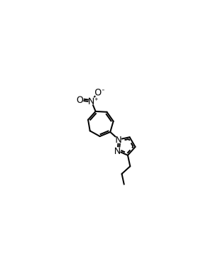 CCCc1ccn(C2=CCC=C([N+](=O)[O-])C=C2)n1